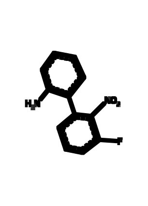 Nc1ccccc1-c1cccc(F)c1[N+](=O)[O-]